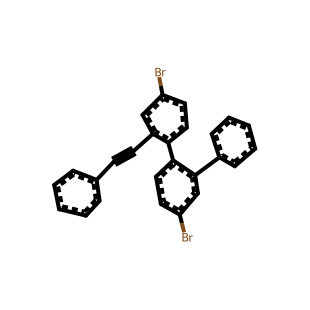 Brc1ccc(-c2ccc(Br)cc2-c2ccccc2)c(C#Cc2ccccc2)c1